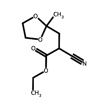 CCOC(=O)C(C#N)CC1(C)OCCO1